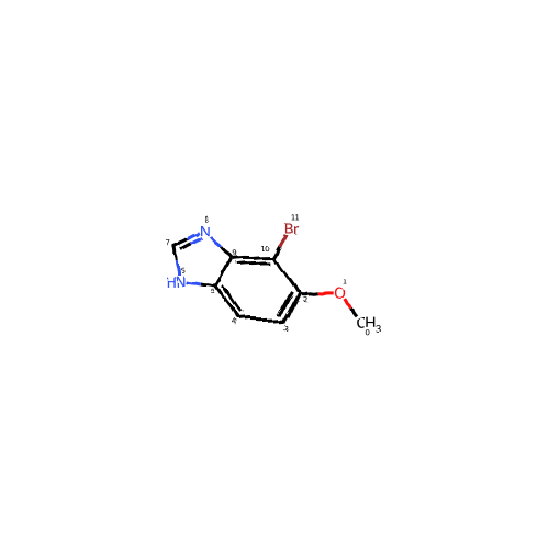 COc1ccc2[nH]cnc2c1Br